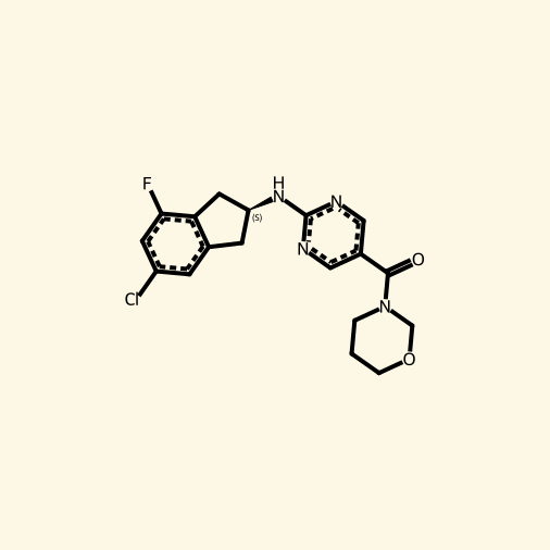 O=C(c1cnc(N[C@H]2Cc3cc(Cl)cc(F)c3C2)nc1)N1CCCOC1